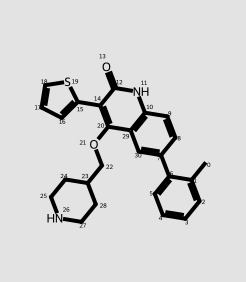 Cc1ccccc1-c1ccc2[nH]c(=O)c(-c3cccs3)c(OCC3CCNCC3)c2c1